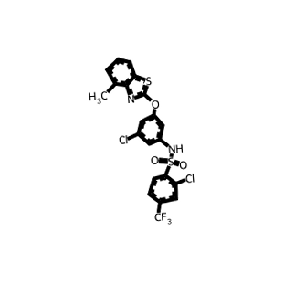 Cc1cccc2sc(Oc3cc(Cl)cc(NS(=O)(=O)c4ccc(C(F)(F)F)cc4Cl)c3)nc12